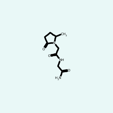 CC1CCC(=O)N1CC(=O)NCC(N)=O